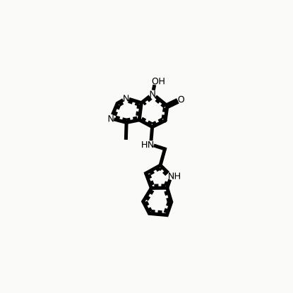 Cc1ncnc2c1c(NCc1cc3ccccc3[nH]1)cc(=O)n2O